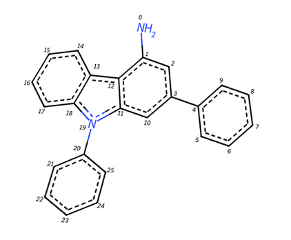 Nc1cc(-c2ccccc2)cc2c1c1ccccc1n2-c1ccccc1